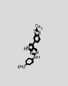 CCOC1CCC(Nc2ncc3c(-c4ccc5nc(C)sc5c4)c[nH]c3n2)CC1